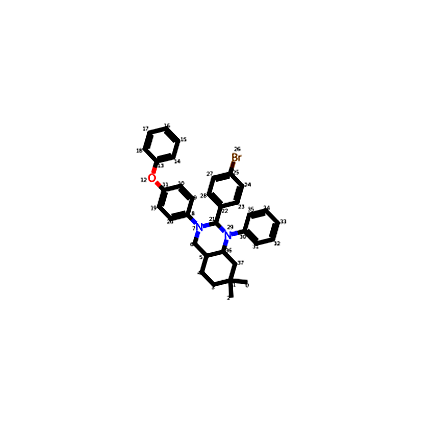 CC1(C)CCC2CN(c3ccc(Oc4ccccc4)cc3)C(c3ccc(Br)cc3)N(c3ccccc3)C2C1